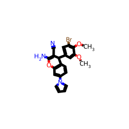 COc1cc(C2C(C#N)=C(N)Oc3cc(-n4cccc4)ccc32)cc(Br)c1OC